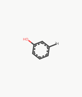 [2H]c1cccc(O)c1